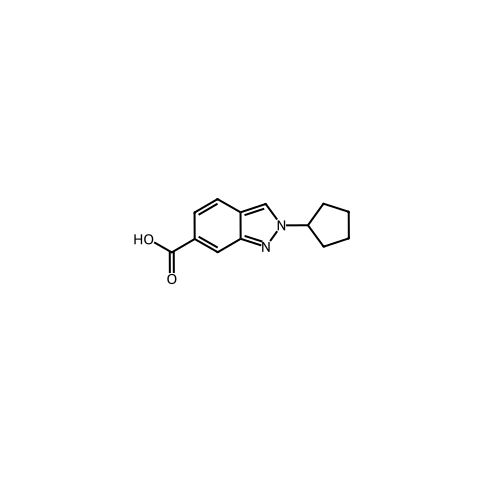 O=C(O)c1ccc2cn(C3CCCC3)nc2c1